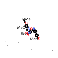 COCCCOc1cc(CN(C(=O)[C@H]2CN(C(=O)OC(C)(C)C)CC[C@@H]2c2cn(C)c3ccc(-c4ccc(C(=O)OC)cc4)cc23)C2CC2)cc(OC)c1